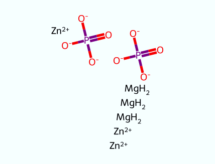 O=P([O-])([O-])[O-].O=P([O-])([O-])[O-].[MgH2].[MgH2].[MgH2].[Zn+2].[Zn+2].[Zn+2]